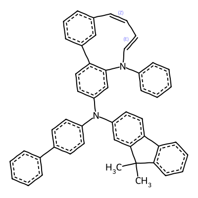 CC1(C)c2ccccc2-c2ccc(N(c3ccc(-c4ccccc4)cc3)c3ccc4c(c3)N(c3ccccc3)/C=C/C=C\c3cccc-4c3)cc21